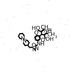 CC1=C(C(=O)O)C(c2cccc(Nc3nnc(CC4CCN(N5CCCCC5)CC4)o3)c2)C(C(=O)O)=C(C)N1